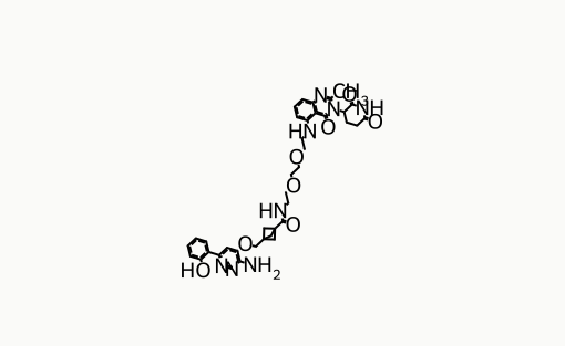 Cc1nc2cccc(NCCOCCOCCNC(=O)C34CC(COc5cc(-c6ccccc6O)nnc5N)(C3)C4)c2c(=O)n1C1CCC(=O)NC1=O